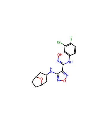 ON=C(Nc1ccc(F)c(Br)c1)c1nonc1NC1CC2CCC(C1)O2